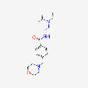 CCN(CCNC(=O)c1ccc(CN2CCOCC2)cc1)C(C)C